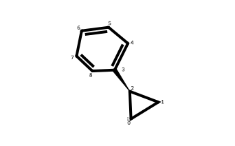 [C]1C[C@@H]1c1ccccc1